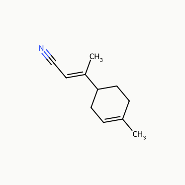 CC1=CCC(C(C)=CC#N)CC1